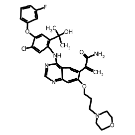 C=C(C(N)=O)c1cc2c(Nc3cc(Cl)c(Oc4cccc(F)c4)cc3C(C)(C)O)ncnc2cc1OCCCN1CCOCC1